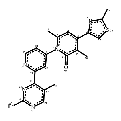 Cc1nc(-c2cc(C)n(-c3ccnc(-c4nc(C(C)C)ncc4C)c3)c(=O)c2C)cs1